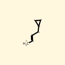 CC=CC[C]1CC1